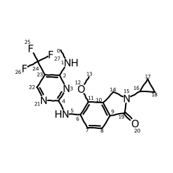 CNc1nc(Nc2ccc3c(c2OC)CN(C2CC2)C3=O)ncc1C(F)(F)F